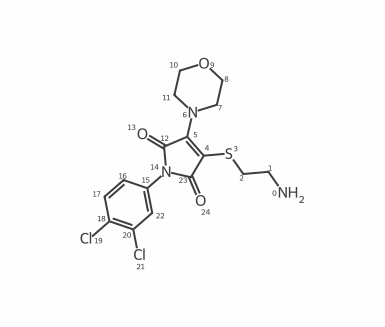 NCCSC1=C(N2CCOCC2)C(=O)N(c2ccc(Cl)c(Cl)c2)C1=O